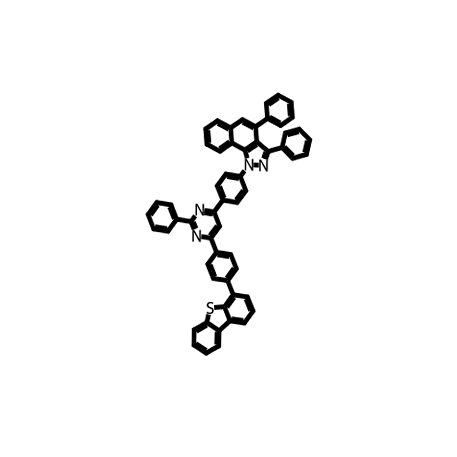 c1ccc(-c2nc(-c3ccc(-c4cccc5c4sc4ccccc45)cc3)cc(-c3ccc(-n4nc(-c5ccccc5)c5c(-c6ccccc6)cc6ccccc6c54)cc3)n2)cc1